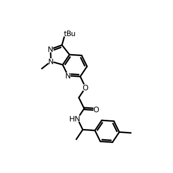 Cc1ccc(C(C)NC(=O)COc2ccc3c(C(C)(C)C)nn(C)c3n2)cc1